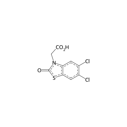 O=C(O)Cn1c(=O)sc2cc(Cl)c(Cl)cc21